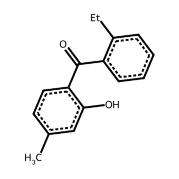 CCc1ccccc1C(=O)c1ccc(C)cc1O